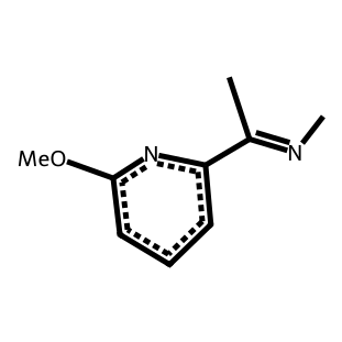 C/N=C(\C)c1cccc(OC)n1